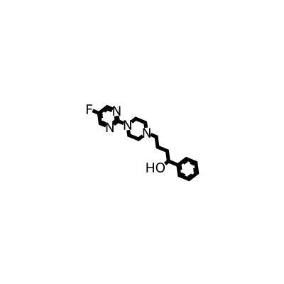 OC(CCCN1CCN(c2ncc(F)cn2)CC1)c1ccccc1